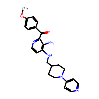 COc1ccc(C(=O)c2nccc(NCC3CCN(c4ccncc4)CC3)c2N)cc1